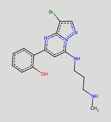 CNCCCNc1cc(-c2ccccc2O)nc2c(Br)cnn12